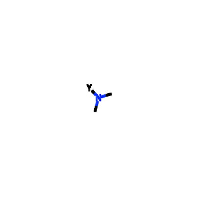 C[N](C)[Y]